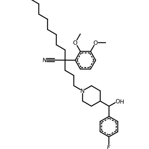 CCCCCCCCC(C#N)(CCCN1CCC(C(O)c2ccc(F)cc2)CC1)c1cccc(OC)c1OC